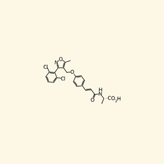 Cc1onc(-c2c(Cl)cccc2Cl)c1COc1ccc(/C=C/C(=O)N[C@@H](C)C(=O)O)cc1